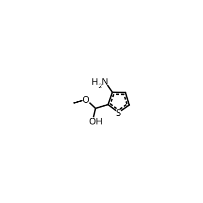 COC(O)c1sccc1N